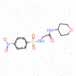 O=C(CNS(=O)(=O)c1ccc([N+](=O)[O-])cc1)NC1CCOCC1